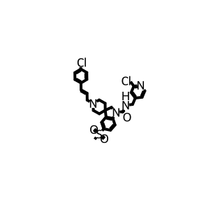 CS(=O)(=O)c1ccc2c(c1)C1(CCN(CC=Cc3ccc(Cl)cc3)CC1)CN2C(=O)NCc1ccnc(Cl)c1